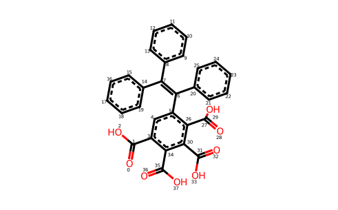 O=C(O)c1cc(C(=C(c2ccccc2)c2ccccc2)c2ccccc2)c(C(=O)O)c(C(=O)O)c1C(=O)O